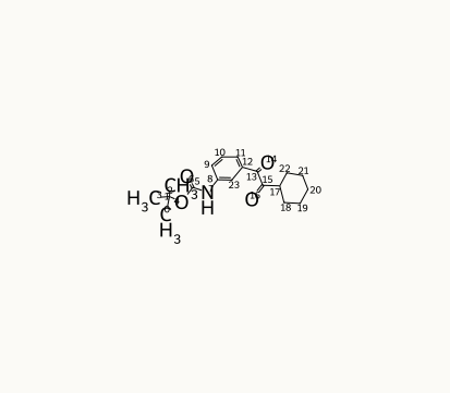 CC(C)(C)OC(=O)Nc1cccc(C(=O)C(=O)C2CCCCC2)c1